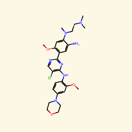 COc1cc(N2CCOCC2)ccc1Nc1nc(-c2cc(N)c(N(C)CCN(C)C)cc2OC)ncc1Cl